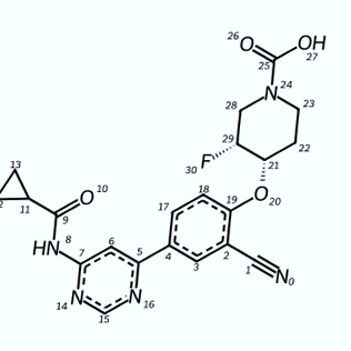 N#Cc1cc(-c2cc(NC(=O)C3CC3)ncn2)ccc1O[C@H]1CCN(C(=O)O)C[C@H]1F